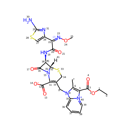 CCOC(=O)c1c(C)n(CC2=C(C(=O)[O-])N3C(=O)[C@@H](NC(=O)/C(=N\OC)c4csc(N)n4)[C@@H]3SC2)c2cccc[n+]12